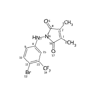 CC1=C(C)C(=O)N(Nc2ccc(Br)c(C(F)(F)F)c2)C1=O